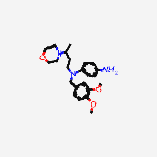 COc1ccc(CN(CCC(C)N2CCOCC2)c2ccc(N)cc2)cc1OC